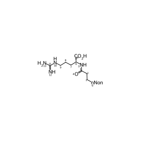 CCCCCCCCCCCC(=O)N[C@@H](CCCNC(=N)N)C(=O)O